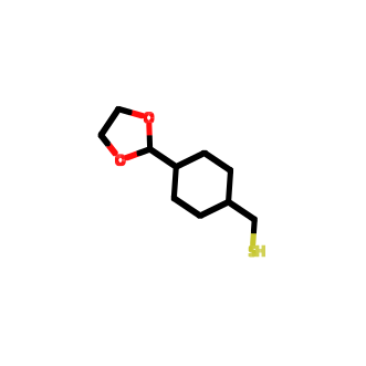 SCC1CCC(C2OCCO2)CC1